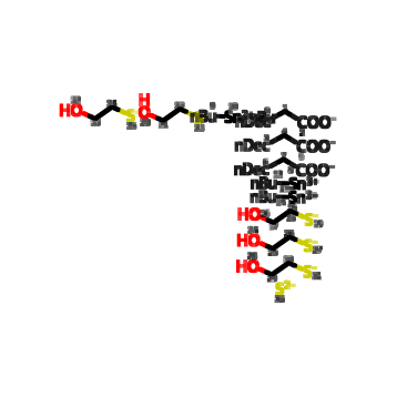 CCCCCCCCCCCC(=O)[O-].CCCCCCCCCCCC(=O)[O-].CCCCCCCCCCCC(=O)[O-].CCC[CH2][Sn+2][CH2]CCC.CCC[CH2][Sn+3].CCC[CH2][Sn+3].OCC[S-].OCC[S-].OCC[S-].OCC[S-].OCC[S-].[S-2]